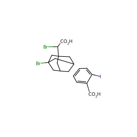 O=C(O)C(Br)C12CC3CC(CC(Br)(C3)C1)C2.O=C(O)c1ccccc1I